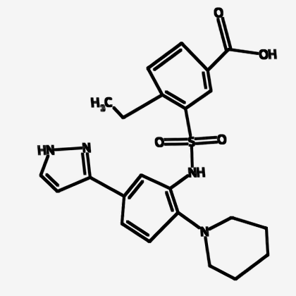 CCc1ccc(C(=O)O)cc1S(=O)(=O)Nc1cc(-c2cc[nH]n2)ccc1N1CCCCC1